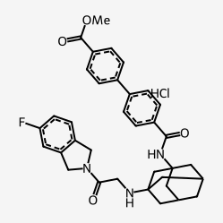 COC(=O)c1ccc(-c2ccc(C(=O)NC34CC5CC(CC(NCC(=O)N6Cc7ccc(F)cc7C6)(C5)C3)C4)cc2)cc1.Cl